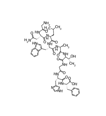 CC(C)C[C@H](NC(=O)[C@H](CC(N)=O)NC(=O)CN)C(=O)N[C@@H](Cc1c[nH]c2ccccc12)C(=O)N[C@@H](C)C(=O)N[C@H](C(=O)NCC(=O)N[C@@H](Cc1c[nH]cn1)C(=O)N[C@@H](Cc1ccccc1)C(=O)O)[C@@H](C)O